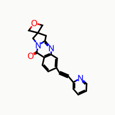 O=c1c2ccc(C#Cc3ccccn3)cc2nc2n1CC1(COC1)C2